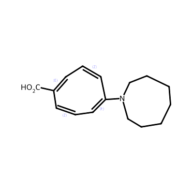 O=C(O)C1=C/C=C\C(N2CCCCCCC2)=C/C=C\1